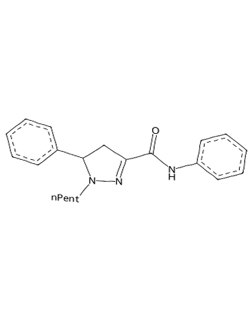 CCCCCN1N=C(C(=O)Nc2ccccc2)CC1c1ccccc1